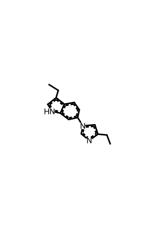 CCc1cn(-c2ccc3c(CC)c[nH]c3c2)cn1